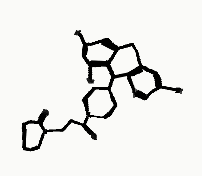 O=C1CCCN1CCC(=O)N1CCC(C2c3ncc(Br)cc3CCc3cc(Cl)cc(Br)c32)CC1